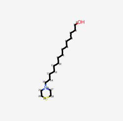 OCCCCCCCCCCCCCCCN1CCSCC1